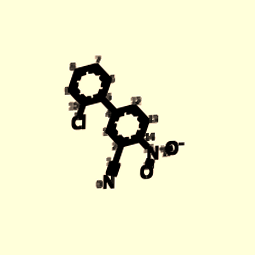 N#Cc1cc(-c2ccccc2Cl)ccc1[N+](=O)[O-]